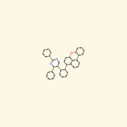 c1ccc(-c2ncc(-c3ccccc3-c3ccc4c5c(cccc35)-c3ccccc3O4)c(-c3ccccc3)n2)cc1